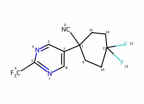 N#CC1(c2cnc(C(F)(F)F)nc2)CCC(F)(F)CC1